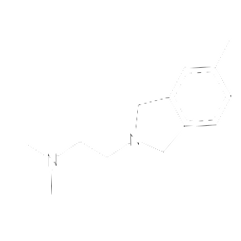 Cc1ccc2c(c1)CN(CCN(C)C)C2